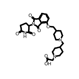 O=C(O)CN1CCC(CN2CCC(COc3cccc4c3C(=O)N(C3CCC(=O)NC3=O)C4=O)CC2)CC1